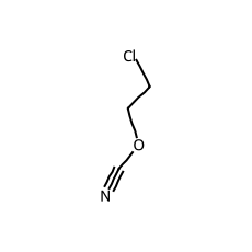 N#COCCCl